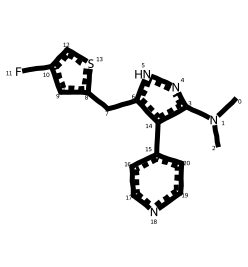 CN(C)c1n[nH]c(Cc2cc(F)cs2)c1-c1ccncc1